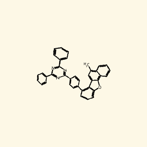 Cc1cc2c(oc3cccc(-c4ccc(-c5nc(-c6ccccc6)nc(-c6ccccc6)n5)cc4)c32)c2ccccc12